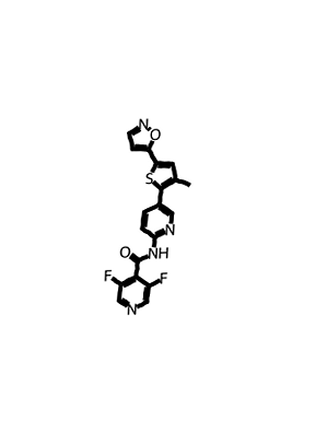 Cc1cc(-c2ccno2)sc1-c1ccc(NC(=O)c2c(F)cncc2F)nc1